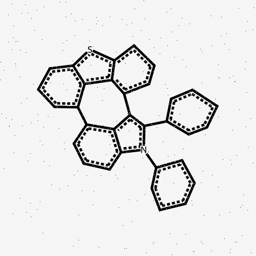 c1ccc(-c2c3c4c(cccc4n2-c2ccccc2)-c2cccc4sc5cccc-3c5c24)cc1